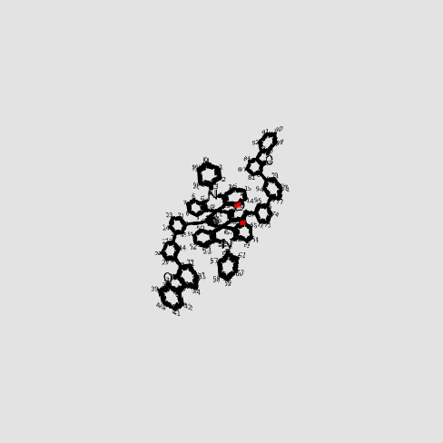 c1ccc(N2c3ccccc3C3(c4ccccc42)c2cc(-c4cccc(-c5cccc(-c6cccc7c6oc6ccccc67)c5)c4)oc2C2(c4ccccc4N(c4ccccc4)c4ccccc42)c2cc(-c4cccc(-c5cccc(-c6cccc7c6oc6ccccc67)c5)c4)oc23)cc1